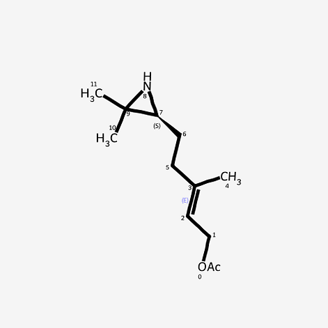 CC(=O)OC/C=C(\C)CC[C@@H]1NC1(C)C